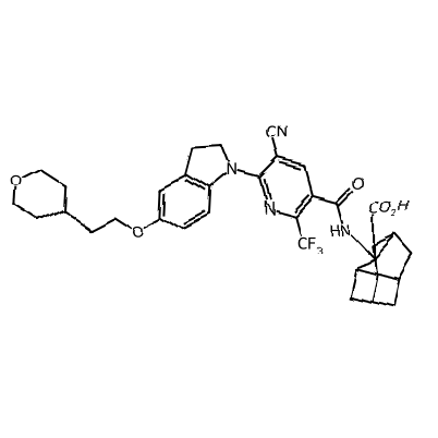 N#Cc1cc(C(=O)NC2(C(=O)O)C3CC4CC5CC2C45C3)c(C(F)(F)F)nc1N1CCc2cc(OCCC3CCOCC3)ccc21